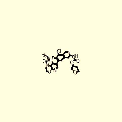 CCc1c(-c2cc3cc(NC(=O)OC4CCOC4)ncc3c(Cl)c2F)cnc2c1N(C(=O)OC(C)(C)C)CCO2